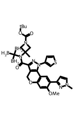 BC(B)(B)N(C(=O)c1nn(-c2ccsc2)c2c1COc1cc(OC)c(-c3ccn(C)n3)cc1-2)C1(C)CN(C(=O)OC(C)(C)C)C1